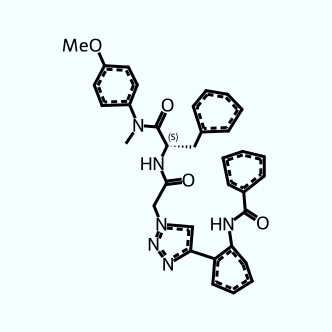 COc1ccc(N(C)C(=O)[C@H](Cc2ccccc2)NC(=O)Cn2cc(-c3ccccc3NC(=O)c3ccccc3)nn2)cc1